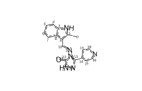 Cc1[nH]c2ccccc2c1/C=N/n1c(-c2ccncc2)n[nH]c1=O